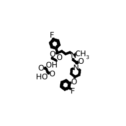 CN(CCCC1(c2ccc(F)cc2)OCCO1)CC(=O)N1CCC(Oc2ccccc2F)CC1.O=C(O)C(=O)O